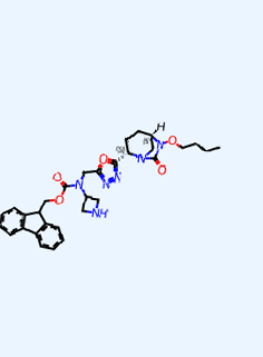 CCCCON1C(=O)N2C[C@@H]1CC[C@H]2c1nnc(CN(C(=O)OCC2c3ccccc3-c3ccccc32)C2CNC2)o1